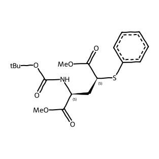 COC(=O)[C@H](C[C@H](Sc1ccccc1)C(=O)OC)NC(=O)OC(C)(C)C